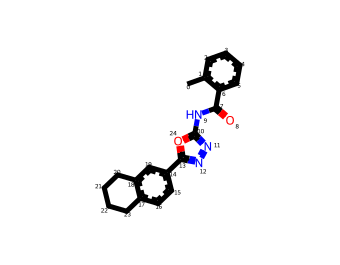 Cc1ccccc1C(=O)Nc1nnc(-c2ccc3c(c2)CCCC3)o1